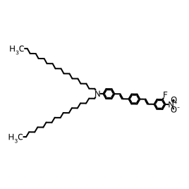 CCCCCCCCCCCCCCCCCCN(CCCCCCCCCCCCCCCCCC)c1ccc(C=Cc2ccc(C=Cc3ccc([N+](=O)[O-])c(F)c3)cc2)cc1